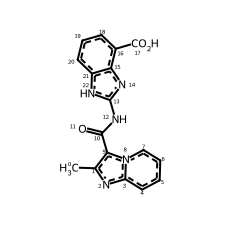 Cc1nc2ccccn2c1C(=O)Nc1nc2c(C(=O)O)cccc2[nH]1